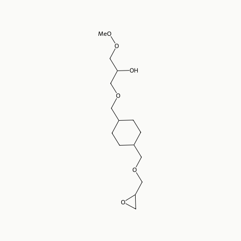 COOCC(O)COCC1CCC(COCC2CO2)CC1